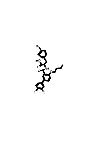 CCCCOc1ccc(-c2ccc(F)c(Cl)c2)cc1C(=O)NC(Cc1ccc(Br)cc1)C(=O)OC